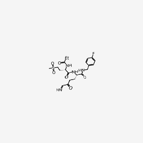 CCC(=O)N[C@@H](CCS(C)(=O)=O)C(=O)N[C@@H](CCC(=O)C=N)C(=O)NCc1ccc(F)cc1